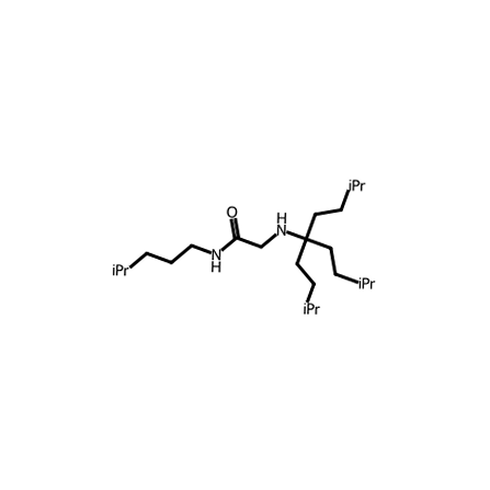 CC(C)CCCNC(=O)CNC(CCC(C)C)(CCC(C)C)CCC(C)C